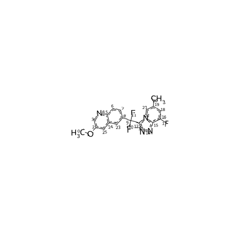 COc1cnc2ccc(C(F)(F)c3nnc4c(F)cc(C)cn34)cc2c1